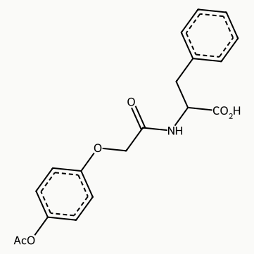 CC(=O)Oc1ccc(OCC(=O)NC(Cc2ccccc2)C(=O)O)cc1